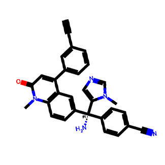 C#Cc1cccc(-c2cc(=O)n(C)c3ccc([C@](N)(c4ccc(C#N)cc4)c4cncn4C)cc23)c1